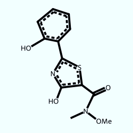 CON(C)C(=O)c1sc(-c2ccccc2O)nc1O